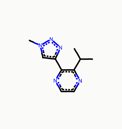 CC(C)c1nccnc1-c1cn(C)nn1